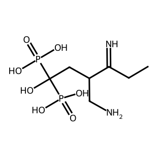 CCC(=N)C(CN)CC(O)(P(=O)(O)O)P(=O)(O)O